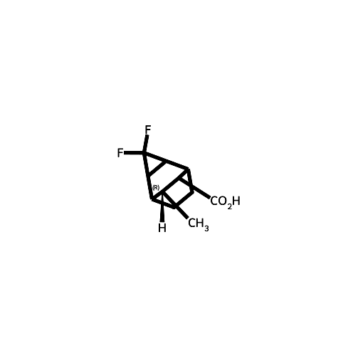 C[C@@H]1C2CCC(C1C(=O)O)C1C2C1(F)F